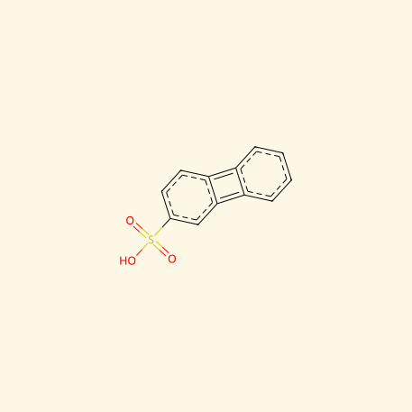 O=S(=O)(O)c1ccc2c(c1)=c1ccccc1=2